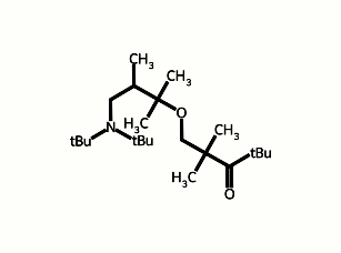 CC(CN(C(C)(C)C)C(C)(C)C)C(C)(C)OCC(C)(C)C(=O)C(C)(C)C